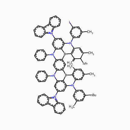 C=C1C2=C(C=C(C)C1CCC)N(c1cc(C)cc(I)c1)c1cc(-n3c4ccccc4c4ccccc43)cc3c1B2c1cc2c(cc1N3c1ccccc1)N(c1ccccc1)c1cc(-n3c4ccccc4c4ccccc43)cc3c1B2c1c(C)cc(C)cc1N3c1cc(C)cc(CCCC)c1